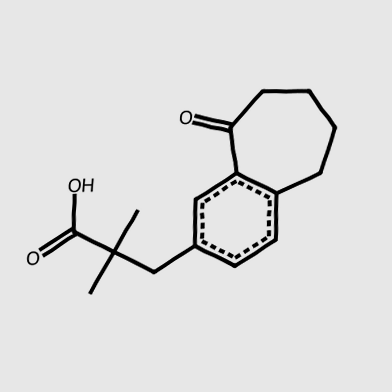 CC(C)(Cc1ccc2c(c1)C(=O)CCCC2)C(=O)O